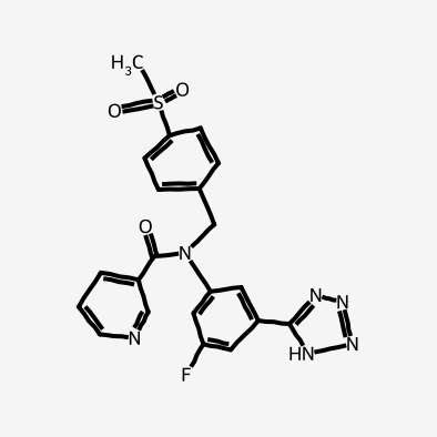 CS(=O)(=O)c1ccc(CN(C(=O)c2cccnc2)c2cc(F)cc(-c3nnn[nH]3)c2)cc1